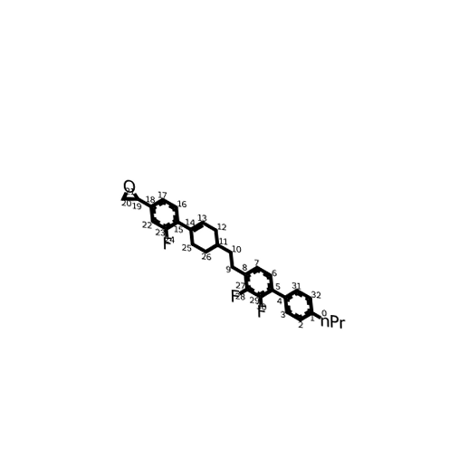 CCCc1ccc(-c2ccc(CCC3CC=C(c4ccc(C5CO5)cc4F)CC3)c(F)c2F)cc1